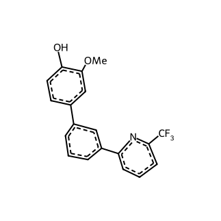 COc1cc(-c2cccc(-c3cccc(C(F)(F)F)n3)c2)ccc1O